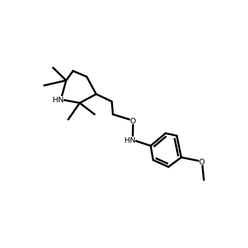 COc1ccc(NOCCC2CCC(C)(C)NC2(C)C)cc1